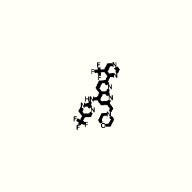 FC(F)(F)c1cnc(Nc2cc(CN3CCOCC3)nc3nc(-c4ncncc4C(F)(F)F)ccc23)nc1